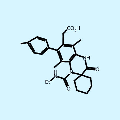 CCNC(=O)N1c2c(C)c(-c3ccc(C)cc3)c(CC(=O)O)c(C)c2NC(=O)C12CCCCC2